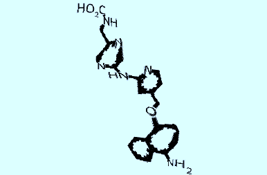 Nc1ccc(OCc2ccnc(Nc3cnc(CNC(=O)O)cn3)c2)c2ccccc12